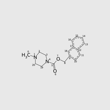 CN1CCN(C(=O)OCc2ccc3ccccc3c2)CC1